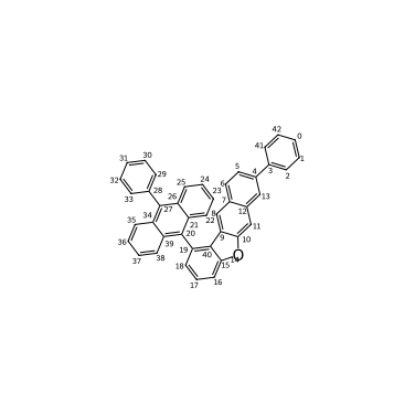 c1ccc(-c2ccc3cc4c(cc3c2)oc2cccc(-c3c5ccccc5c(-c5ccccc5)c5ccccc35)c24)cc1